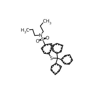 CCCN(CCC)S(=O)(=O)c1ccc(SC(c2ccccc2)(c2ccccc2)c2ccccc2)cc1